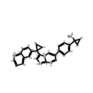 N#CC1(c2ccc(-c3cnc4ncc(C5(c6ccc7ncccc7c6)CC5)n4c3)cc2)CC1